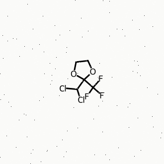 FC(F)(F)C1(C(Cl)Cl)OCCO1